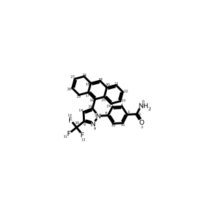 NC(=O)c1ccc(-n2nc(C(F)(F)F)cc2-c2c3c(cc4ccccc24)CC=CC3)cc1